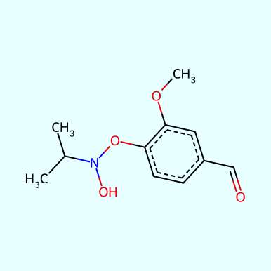 COc1cc(C=O)ccc1ON(O)C(C)C